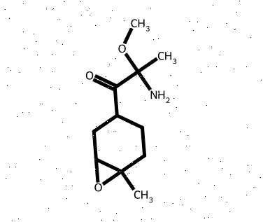 COC(C)(N)C(=O)C1CCC2(C)OC2C1